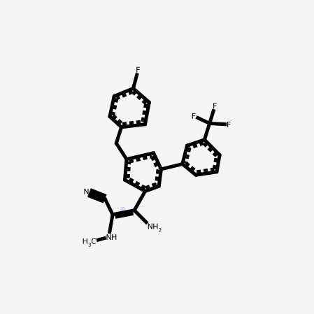 CN/C(C#N)=C(\N)c1cc(Cc2ccc(F)cc2)cc(-c2cccc(C(F)(F)F)c2)c1